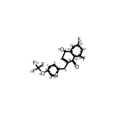 O=C1C=C(Cc2ccc(OC(F)(F)F)cn2)C(=O)c2c(F)cc(F)cc21